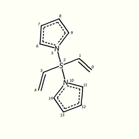 C=CS(C=C)(n1cccc1)n1cccc1